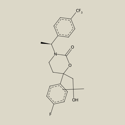 C[C@@H](c1ccc(C(F)(F)F)cc1)N1CCC(CC(C)(C)O)(c2ccc(F)cc2)OC1=O